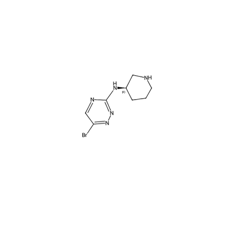 Brc1cnc(N[C@@H]2CCCNC2)nn1